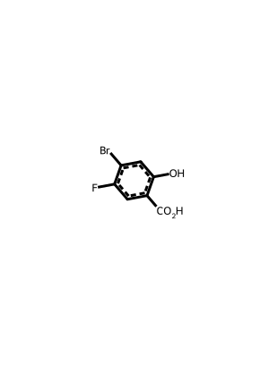 O=C(O)c1cc(F)c(Br)cc1O